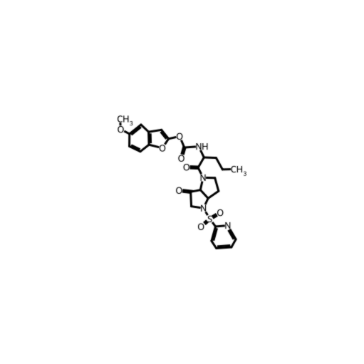 CCCC(NC(=O)Oc1cc2cc(OC)ccc2o1)C(=O)N1CCC2C1C(=O)CN2S(=O)(=O)c1ccccn1